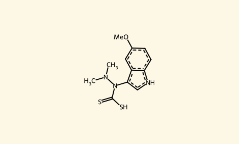 COc1ccc2[nH]cc(N(C(=S)S)N(C)C)c2c1